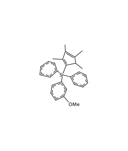 COc1cccc([Si](C2=C(C)C(C)=C(C)C2C)(c2ccccc2)c2ccccc2)c1